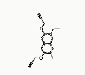 C#CCOc1cc2cc(OCC#C)c(CC)cc2cc1C